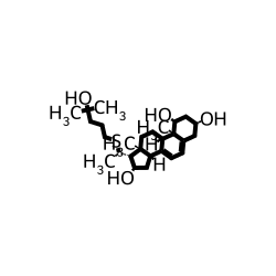 C[C@H](SCCCC(C)(C)O)[C@H]1[C@H](O)C[C@H]2C3=CC=C4C[C@@H](O)C[C@H](O)[C@]4(C)[C@H]3CC[C@]12C